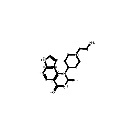 NCCN1CCC(n2c(=O)[nH]c(=O)c3cnc4[nH]ccc4c32)CC1